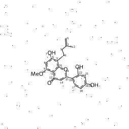 C=C(C)CCc1c(O)cc(OC)c2c(=O)cc(-c3ccc(O)cc3O)oc12